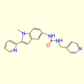 Cn1c(-c2ccccn2)cc2cc(NC(=O)NCc3ccncc3)ccc21